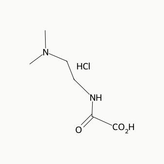 CN(C)CCNC(=O)C(=O)O.Cl